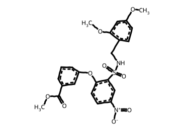 COC(=O)c1cccc(Oc2ccc([N+](=O)[O-])cc2S(=O)(=O)NCc2ccc(OC)cc2OC)c1